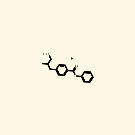 CC(C[TeH])Cc1ccc(C(=O)Oc2ccccc2)cc1.[H+]